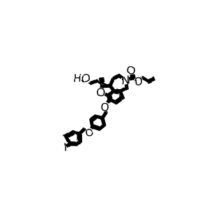 C=CCOC(=O)N1CC[C@]2(C=C)c3c(ccc(OCc4ccc(OCc5ccc(I)cc5)cc4)c3O[C@H]2CCO)C1